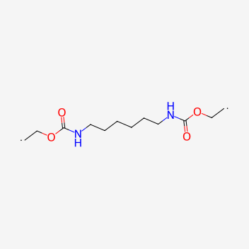 [CH2]COC(=O)NCCCCCCNC(=O)OC[CH2]